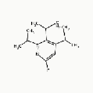 CC(C)c1cc(F)nc(C(C)C)c1C(C)C